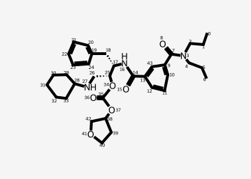 CCCN(CCC)C(=O)c1cccc(C(=O)N[C@@H](Cc2ccccc2)[C@@H](CNC2CCCCC2)OC(=O)OC2CCOC2)c1